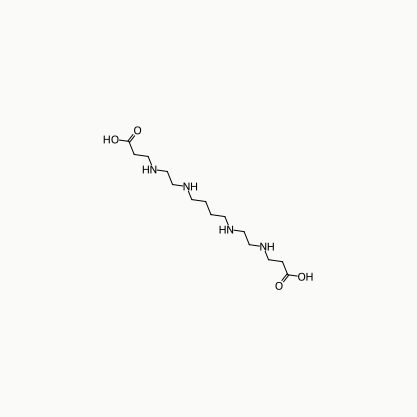 O=C(O)CCNCCNCCCCNCCNCCC(=O)O